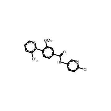 COc1cc(C(=O)Nc2ccc(Cl)nc2)ccc1-c1ncccc1C(F)(F)F